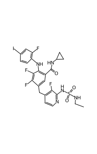 CCNS(=O)(=O)Nc1nccc(Cc2cc(C(=O)NC3CC3)c(Nc3ccc(I)cc3F)c(F)c2F)c1F